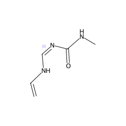 C=CN/C=N\C(=O)NC